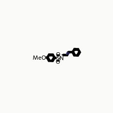 COc1ccc(S(=O)(=O)N=C/C=C/c2ccccc2)cc1